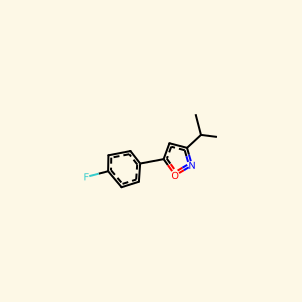 CC(C)c1cc(-c2ccc(F)cc2)on1